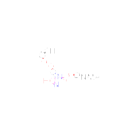 CNc1ccc(OCCC(=O)NC(CN2CCCC2)[C@H](O)c2ccc(OCCOc3cccc(C)c3)cc2)cc1